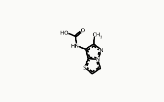 Cc1nn2ccsc2c1NC(=O)O